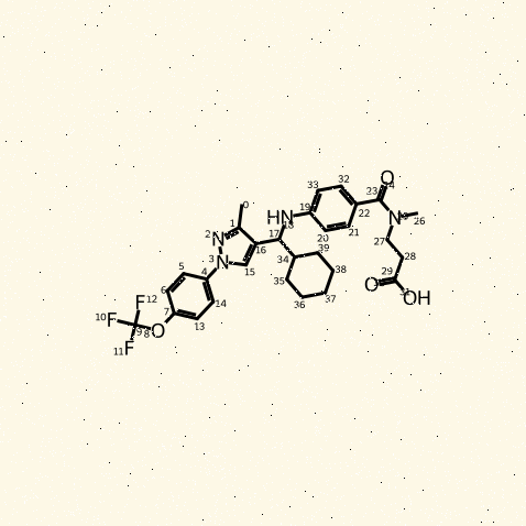 Cc1nn(-c2ccc(OC(F)(F)F)cc2)cc1C(Nc1ccc(C(=O)N(C)CCC(=O)O)cc1)C1CCCCC1